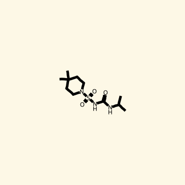 CC(C)NC(=O)NS(=O)(=O)N1CCC(C)(C)CC1